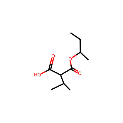 CCC(C)OC(=O)C(C(=O)O)C(C)C